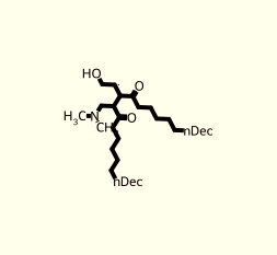 CCCCCCCCCCCCCCCC(=O)C([CH]CO)C(CN(C)C)C(=O)CCCCCCCCCCCCCCC